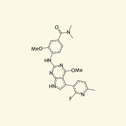 COc1cc(C(=O)N(C)C)ccc1Nc1nc(OC)c2c(-c3ccc(C)nc3F)c[nH]c2n1